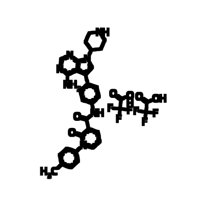 Cc1ccc(-n2cccc(C(=O)Nc3ccc(-c4cn(C5CCNCC5)c5ncnc(N)c45)cc3)c2=O)cc1.O=C(O)C(F)(F)F.O=C(O)C(F)(F)F